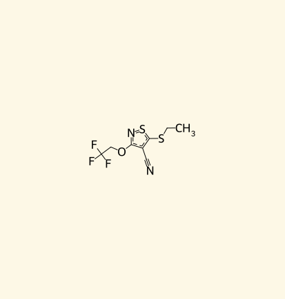 CCSc1snc(OCC(F)(F)F)c1C#N